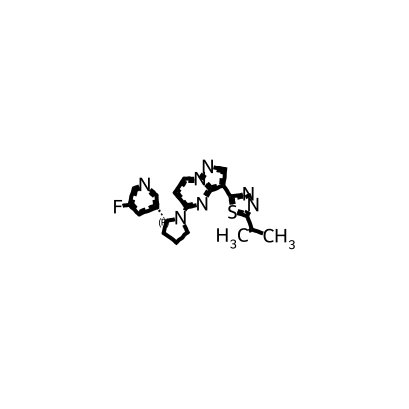 CC(C)c1nnc(-c2cnn3ccc(N4CCC[C@@H]4c4cncc(F)c4)nc23)s1